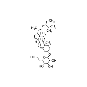 CC[C@H](CC[C@@H](C)[C@H]1CC[C@H]2[C@@H]3CC=C4C[C@@H](O[C@@H]5O[C@H](CCO)[C@@H](O)[C@H](O)[C@H]5O)CC[C@]4(C)[C@H]3CC[C@]12C)C(C)C